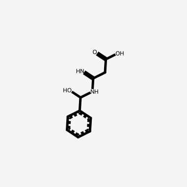 N=C(CC(=O)O)NC(O)c1ccccc1